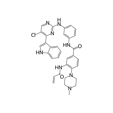 C=CC(=O)Nc1cc(C(=O)Nc2cccc(Nc3ncc(Cl)c(-c4c[nH]c5ccccc45)n3)c2)ccc1N1CCN(C)CC1